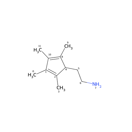 CC1=C(C)C(CCN)C(C)=C1C